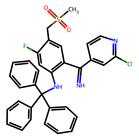 CS(=O)(=O)Cc1cc(C(=N)c2ccnc(Cl)c2)c(NC(c2ccccc2)(c2ccccc2)c2ccccc2)cc1F